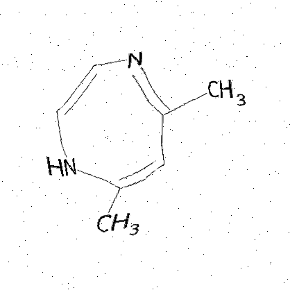 CC1=CC(C)=NC=CN1